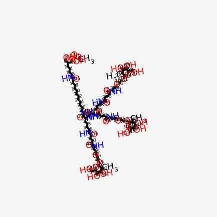 COP(=O)(O)OCC(CO)CCCCNC(=O)CCCCCCCCCCCNC(=O)[C@H](CCCCNC(=O)CCC(=O)NCCOCCOC1OC(CO)C(O)C(O)C1C)NC(=O)[C@H](CCCCNC(=O)CCC(=O)NCCOCCOC1OC(CO)C(O)C(O)C1C)NC(=O)CCC(=O)NCCOCCOC1OC(CO)C(O)C(O)C1C